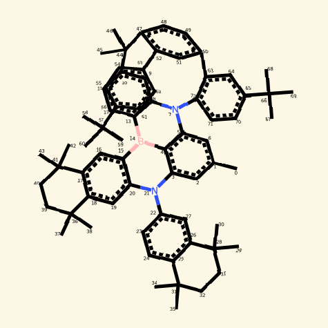 Cc1cc2c3c(c1)N1c4cc(ccc4B3c3cc4c(cc3N2c2ccc3c(c2)C(C)(C)CCC3(C)C)C(C)(C)CCC4(C)C)C(C)(C)c2ccc(cc2-c2ccc(C(C)(C)C)cc2)-c2cc(C(C)(C)C)ccc21